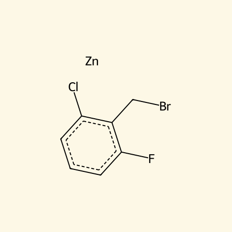 Fc1cccc(Cl)c1CBr.[Zn]